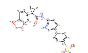 CN(C)S(=O)(=O)c1ccc(-c2ccc(NC(=O)C3(c4ccc5c(c4)OCO5)CC3)nc2)cc1